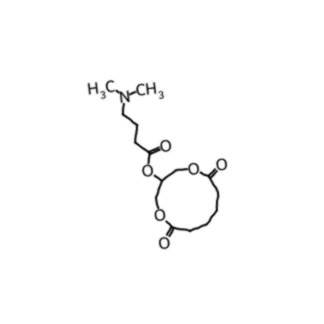 CN(C)CCCC(=O)OC1COC(=O)CCCCC(=O)OC1